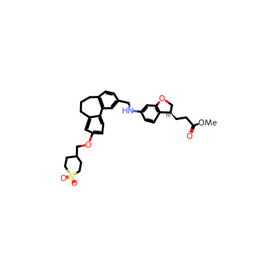 COC(=O)CC[C@@H]1COc2cc(NCc3ccc4c(c3)-c3ccc(OCC5CCS(=O)(=O)CC5)cc3CCC4)ccc21